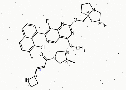 CN(c1nc(OC[C@@]23CCCN2C[C@H](F)C3)nc2c(F)c(-c3cccc4ccc(F)c(Cl)c34)ncc12)[C@H]1CN(C(=O)/C=C/[C@H]2CCN2)C[C@@H]1F